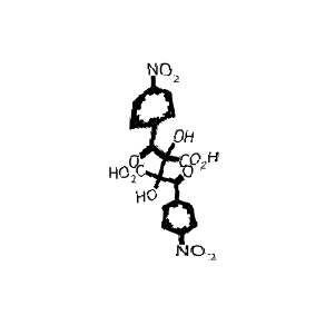 O=C(O)C(O)(C(=O)c1ccc([N+](=O)[O-])cc1)C(O)(C(=O)O)C(=O)c1ccc([N+](=O)[O-])cc1